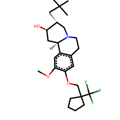 COc1cc2c(cc1OCC1(C(F)(F)F)CCCC1)CCN1C[C@@H](CC(C)(C)C)[C@H](O)C[C@H]21